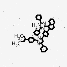 C=C/C=C(\C=C)c1ccc(-c2nc(-c3ccccc3)cc(-c3ccc(-c4ccc5ccccc5c4C(/N=C(\N)c4ccccc4)=N/Cc4ccccc4)cc3)n2)cc1